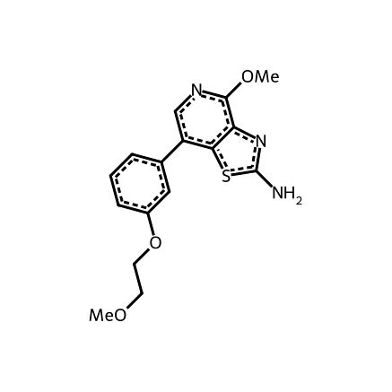 COCCOc1cccc(-c2cnc(OC)c3nc(N)sc23)c1